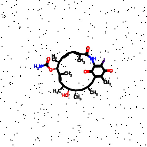 CC1=C2C[C@@H](C)C[C@H](C)[C@H](O)[C@@H](C)/C=C(\C)[C@H](OC(N)=O)[C@@H](C)/C=C\C=C(/C)C(=O)NC(=C(I)C1=O)C2=O